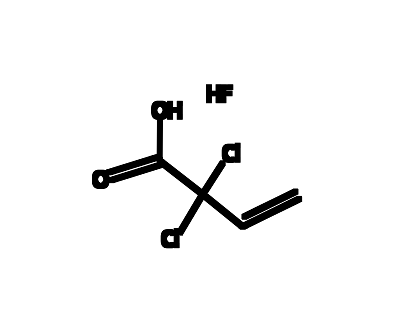 C=CC(Cl)(Cl)C(=O)O.F